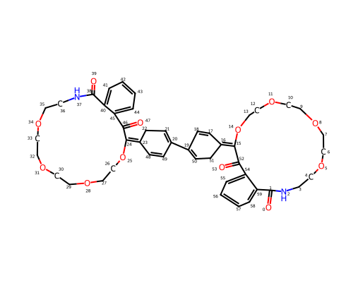 O=C1NCCOCCOCCOCCOC(=C2C=CC(C3=CCC(=C4OCCOCCOCCOCCNC(=O)c5ccccc5C4=O)C=C3)=CC2)C(=O)c2ccccc21